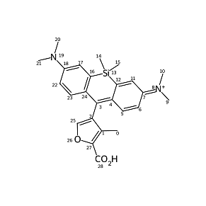 Cc1c(C2=C3C=CC(=[N+](C)C)C=C3[Si](C)(C)c3cc(N(C)C)ccc32)coc1C(=O)O